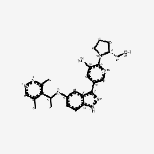 Cc1cnnc(C)c1C(C)Oc1ccc2[nH]nc(-c3cnc(N4CCC[C@@H]4CO)c(C#N)c3)c2c1